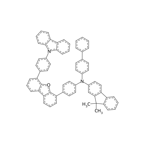 CC1(C)c2ccccc2-c2ccc(N(c3ccc(-c4ccccc4)cc3)c3ccc(-c4cccc5c4oc4c(-c6ccc(-n7c8ccccc8c8ccccc87)cc6)cccc45)cc3)cc21